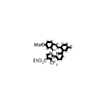 CCOC(=O)c1cnn(-c2cccc(-c3cc(F)ccc3CCc3ccc(OC)cc3C)n2)c1C(F)(F)F